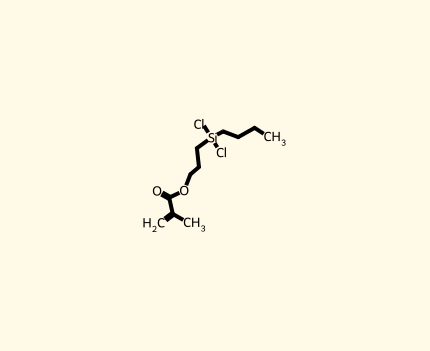 C=C(C)C(=O)OCCC[Si](Cl)(Cl)CCCC